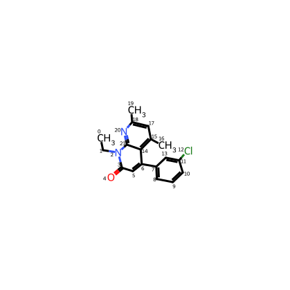 CCn1c(=O)cc(-c2cccc(Cl)c2)c2c(C)cc(C)nc21